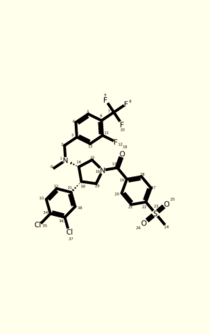 CN(Cc1ccc(C(F)(F)F)c(F)c1)[C@@H]1CN(C(=O)c2ccc(S(C)(=O)=O)cc2)C[C@@H]1c1ccc(Cl)c(Cl)c1